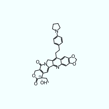 CC[C@@]1(O)C(=O)OCc2c1cc1n(c2=O)Cc2c-1nc1cc3c(cc1c2CCc1ccc(N2CCCC2)cc1)OCO3